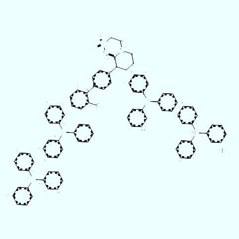 O=S1(=O)CCN2CCCC(c3ccc(-c4ccccc4F)cc3)C2=N1.[Pd].c1ccc(P(c2ccccc2)c2ccccc2)cc1.c1ccc(P(c2ccccc2)c2ccccc2)cc1.c1ccc(P(c2ccccc2)c2ccccc2)cc1.c1ccc(P(c2ccccc2)c2ccccc2)cc1